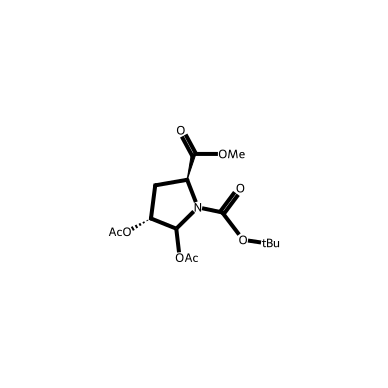 COC(=O)[C@@H]1C[C@@H](OC(C)=O)C(OC(C)=O)N1C(=O)OC(C)(C)C